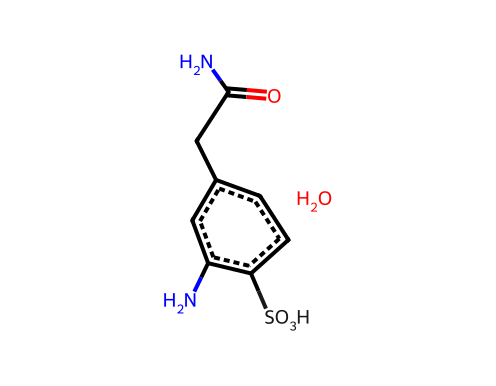 NC(=O)Cc1ccc(S(=O)(=O)O)c(N)c1.O